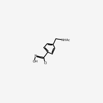 CC(=O)NCc1ccc(C(Cl)=NO)cc1